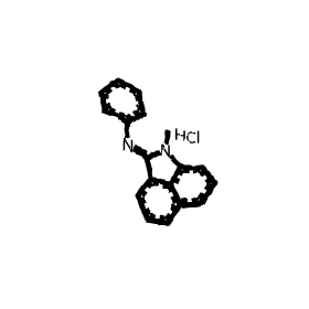 CN1C(=Nc2ccccc2)c2cccc3cccc1c23.Cl